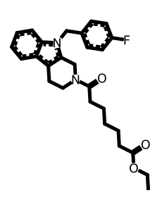 CCOC(=O)CCCCCC(=O)N1CCc2c(n(Cc3ccc(F)cc3)c3ccccc23)C1